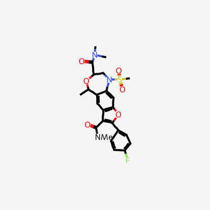 CNC(=O)c1c(-c2ccc(F)cc2)oc2cc3c(cc12)C(C)OC(C(=O)N(C)C)CN3S(C)(=O)=O